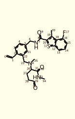 C=Cc1ccc(CNC(=O)c2sc3cccc(F)c3c2C)cc1CN(C)C(CCC=O)C(=O)NC